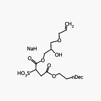 C=CCOCC(O)COC(=O)C(CC(=O)OCCCCCCCCCCCC)S(=O)(=O)O.[NaH]